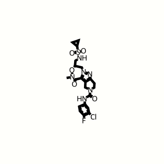 CN1OC(CNS(=O)(=O)C2CC2)Cn2nc3c(c2C1=O)CN(C(=O)Nc1ccc(F)c(Cl)c1)CC3